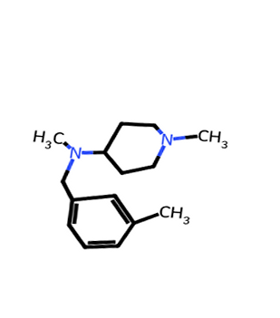 Cc1cccc(CN(C)C2CCN(C)CC2)c1